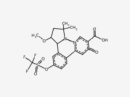 COC1CC(C)(C)N2C1c1cc(OS(=O)(=O)C(F)(F)F)ccc1-c1cc(=O)c(C(=O)O)cn12